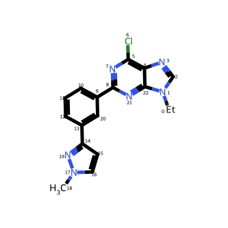 CCn1cnc2c(Cl)nc(-c3cccc(-c4ccn(C)n4)c3)nc21